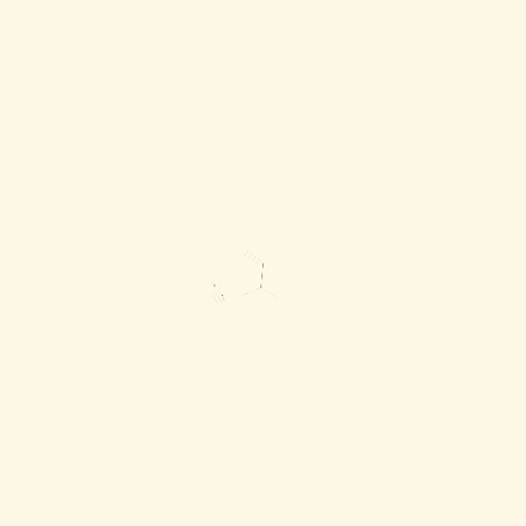 C#N.C=CC(C)C